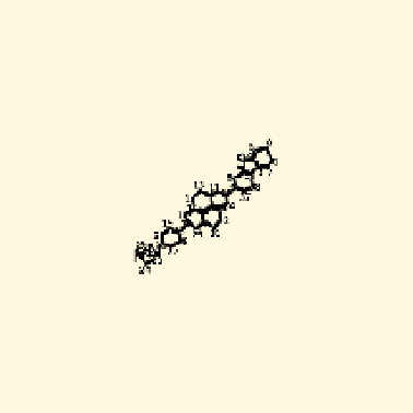 c1ccc2c(c1)sc1cc(-c3cc4ccc5cc(-c6ccc(-n7ccnc7)cc6)cc6ccc(c3)c4c56)ccc12